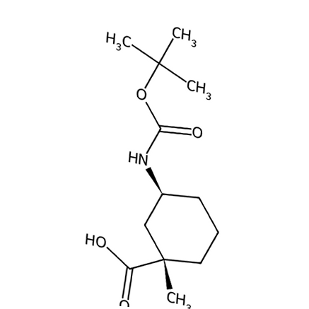 CC(C)(C)OC(=O)N[C@H]1CCC[C@](C)(C(=O)O)C1